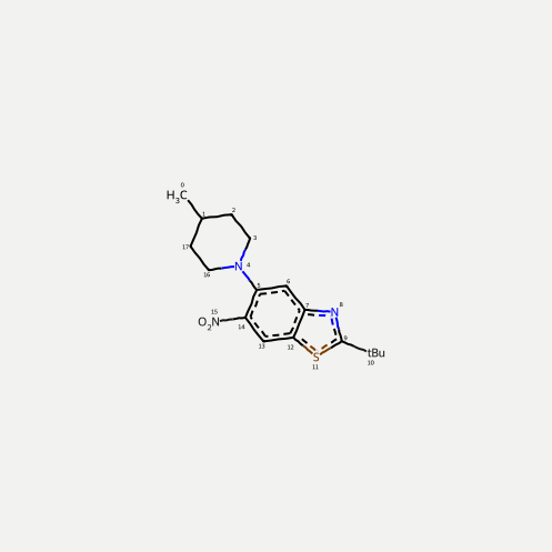 CC1CCN(c2cc3nc(C(C)(C)C)sc3cc2[N+](=O)[O-])CC1